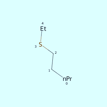 [CH2]CCCCSCC